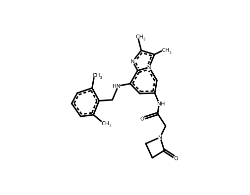 Cc1cccc(C)c1CNc1cc(NC(=O)CN2CCC2=O)cn2c(C)c(C)nc12